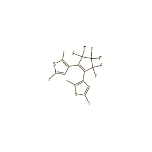 Cc1sc(I)cc1C1=C(c2cc(I)sc2C)C(F)(F)C(F)(F)C1(F)F